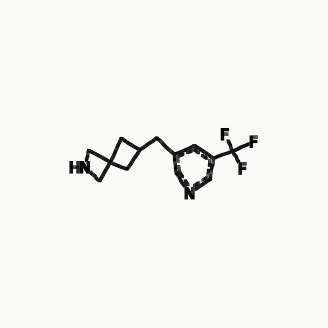 FC(F)(F)c1cncc(CC2CC3(CNC3)C2)c1